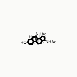 CC(=O)NC1=C[C@@H]2C[C@@H](O)C=C[C@]2(C)[C@H]2CC[C@]3(C)[C@@H](NC(C)=O)CC[C@H]3[C@H]12